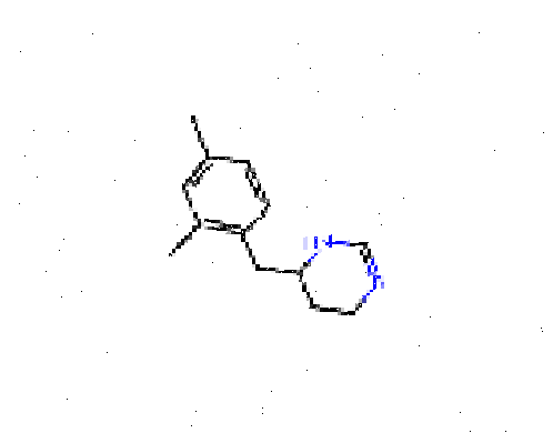 Cc1ccc(CC2CCN=CN2)c(C)c1